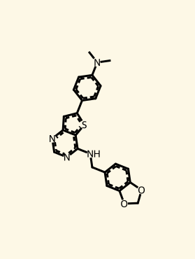 CN(C)c1ccc(-c2cc3ncnc(NCc4ccc5c(c4)OCO5)c3s2)cc1